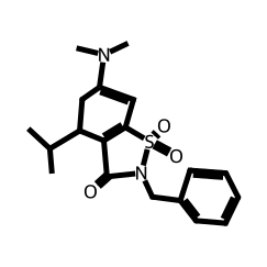 CC(C)C1CC(N(C)C)=CC2=C1C(=O)N(Cc1ccccc1)S2(=O)=O